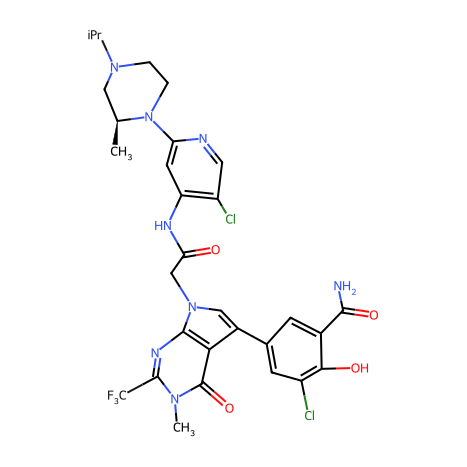 CC(C)N1CCN(c2cc(NC(=O)Cn3cc(-c4cc(Cl)c(O)c(C(N)=O)c4)c4c(=O)n(C)c(C(F)(F)F)nc43)c(Cl)cn2)[C@@H](C)C1